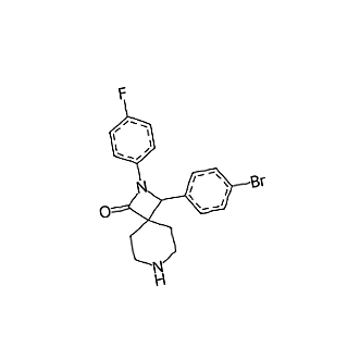 O=C1N(c2ccc(F)cc2)C(c2ccc(Br)cc2)C12CCNCC2